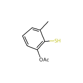 CC(=O)Oc1cccc(C)c1S